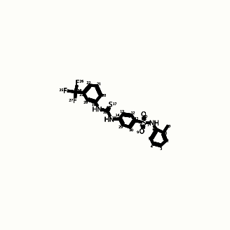 Cc1ccccc1NS(=O)(=O)c1ccc(NC(=S)Nc2cccc(C(F)(F)F)c2)cc1